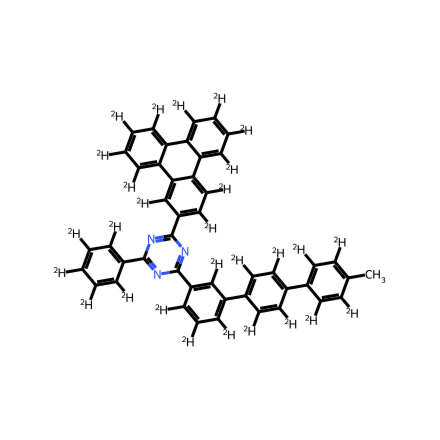 [2H]c1c([2H])c([2H])c(-c2nc(-c3c([2H])c([2H])c([2H])c(-c4c([2H])c([2H])c(-c5c([2H])c([2H])c(C)c([2H])c5[2H])c([2H])c4[2H])c3[2H])nc(-c3c([2H])c([2H])c4c5c([2H])c([2H])c([2H])c([2H])c5c5c([2H])c([2H])c([2H])c([2H])c5c4c3[2H])n2)c([2H])c1[2H]